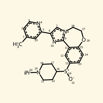 Cc1ccnc(-c2cn3c(n2)-c2cc([S+]([O-])C4CCN(C(C)C)CC4)ccc2OCC3)c1